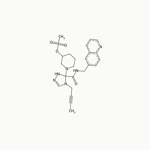 CC#CCN1C=NNC1(C(=O)NCc1ccc2ncccc2c1)N1CCCC(OS(C)(=O)=O)C1